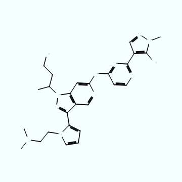 CC(CCO)n1nc(-c2cccn2CCN(C)C)c2cnc(Nc3ccnc(-c4cnn(C)c4O)n3)cc21